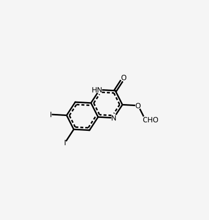 O=COc1nc2cc(I)c(I)cc2[nH]c1=O